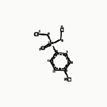 O=P(CCl)(CCl)c1ccc(Cl)cc1